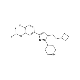 Fc1ccc(-c2cn(CCN3CCC3)c(C3CCNCC3)n2)cc1OC(F)F